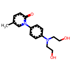 Cc1ccc(=O)n(-c2ccc(N(CCO)CCO)cc2)c1